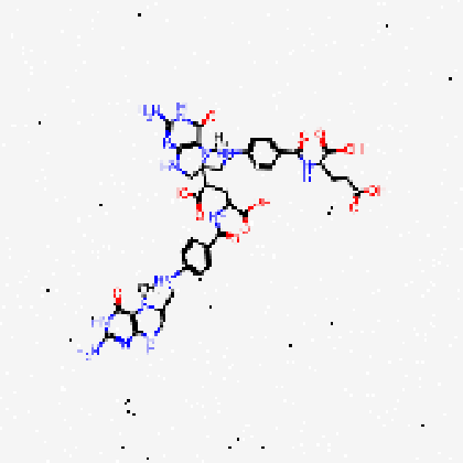 CN1c2c(nc(N)[nH]c2=O)NCC1CNc1ccc(C(=O)NC(CC(C(=O)O)[C@]2(CNc3ccc(C(=O)NC(CCC(=O)O)C(=O)O)cc3)CNc3nc(N)[nH]c(=O)c3N2C)C(=O)O)cc1